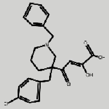 O=C(O)/C(O)=C/C(=O)C1(Cc2ccc(Cl)cc2)CCCN(Cc2ccccc2)C1